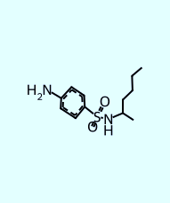 CCCCC(C)NS(=O)(=O)c1ccc(N)cc1